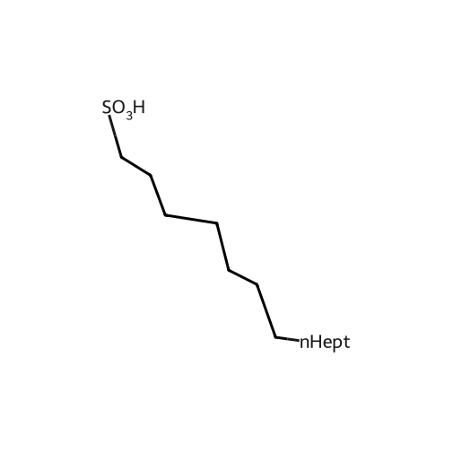 CCCCCCCCCCCCCCS(=O)(=O)O